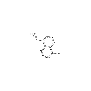 C=Cc1cccc2c(Cl)ccnc12